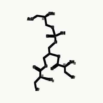 CC(=O)OC[C@H](COP(=O)(O)OCC(COC(=O)[C@@H](N)CC(C)C)OC(=O)[C@@H](N)CC(C)C)OC(C)=O